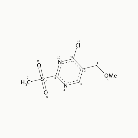 COCc1cnc(S(C)(=O)=O)nc1Cl